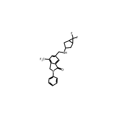 O=C1c2cc(CNC3CC4C(C3)C4(F)F)cc(C(F)(F)F)c2CN1c1ccccc1